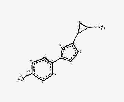 NC1CC1c1ccc(-c2ccc(O)cc2)s1